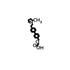 C[C@@H]1CCCN1CCc1ccc(-c2ccc(COCC(=O)O)cc2)cc1